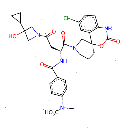 CN(C(=O)O)c1ccc(C(=O)N[C@@H](CC(=O)N2CC(O)(C3CC3)C2)C(=O)N2CCC[C@@]3(C2)OC(=O)Nc2ccc(Cl)cc23)cc1